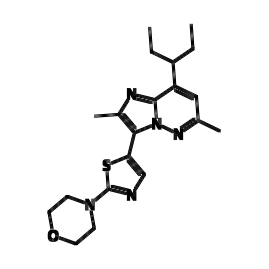 CCC(CC)c1cc(C)nn2c(-c3cnc(N4CCOCC4)s3)c(C)nc12